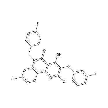 O=c1oc2c(c(O)c1Sc1cccc(F)c1)c(=O)n(Cc1ccc(F)cc1)c1cc(Cl)ccc21